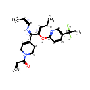 C=CC(=O)N1CC=C(C(=N/C=C\C)/C(=C/CC)Oc2ccc(C(C)(F)F)cn2)CC1